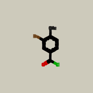 CC(=O)Oc1ccc(C(=O)Cl)cc1Br